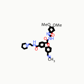 C/N=C/c1ccc(OC(C(=O)Nc2nc3cc(OC)c(OC)cc3o2)c2ccc(C(=O)NCCN3CCCCC3)cc2)cc1